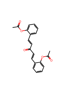 CC(=O)Oc1ccccc1/C=C/C(=O)/C=C/c1ccccc1OC(C)=O